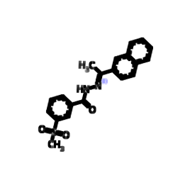 C/C(=N\NC(=O)c1cccc(S(C)(=O)=O)c1)c1ccc2ccccc2c1